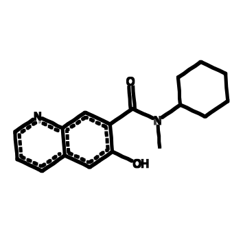 CN(C(=O)c1cc2ncccc2cc1O)C1CCCCC1